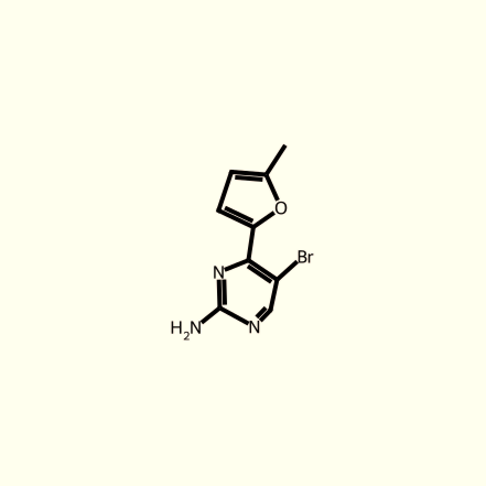 Cc1ccc(-c2nc(N)ncc2Br)o1